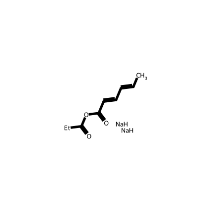 C/C=C/C=C/C(=O)OC(=O)CC.[NaH].[NaH]